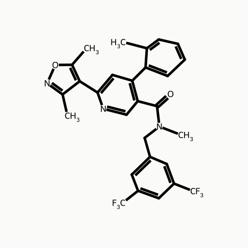 Cc1ccccc1-c1cc(-c2c(C)noc2C)ncc1C(=O)N(C)Cc1cc(C(F)(F)F)cc(C(F)(F)F)c1